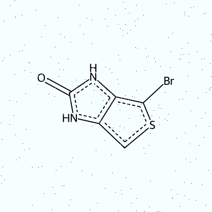 O=c1[nH]c2csc(Br)c2[nH]1